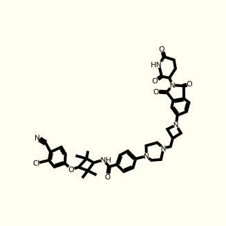 CC1(C)C(NC(=O)c2ccc(N3CCN(CC4CN(c5ccc6c(c5)C(=O)N(C5CCC(=O)NC5=O)C6=O)C4)CC3)cc2)C(C)(C)C1Oc1ccc(C#N)c(Cl)c1